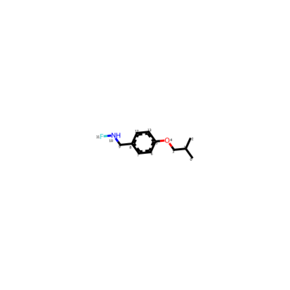 CC(C)COc1ccc(CNF)cc1